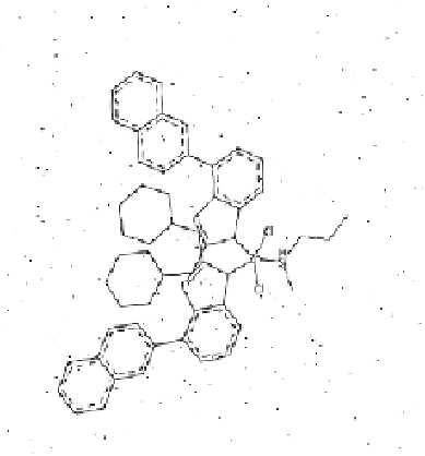 CCC[SiH](C)[Zr]([Cl])([Cl])([CH]1C(CC2CCCCC2)=Cc2c(-c3ccc4ccccc4c3)cccc21)[CH]1C(CC2CCCCC2)=Cc2c(-c3ccc4ccccc4c3)cccc21